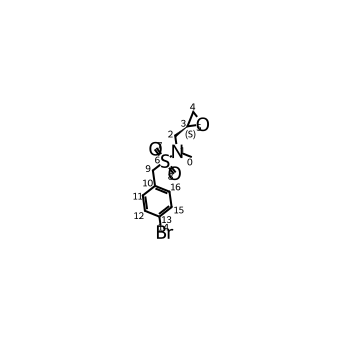 CN(C[C@H]1CO1)S(=O)(=O)Cc1ccc(Br)cc1